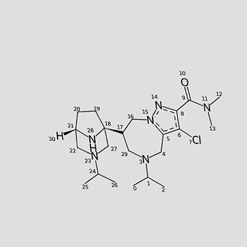 CC(C)N1Cc2c(Cl)c(C(=O)N(C)C)nn2CC([C@@]23CC[C@@H](CN(C(C)C)C2)N3)C1